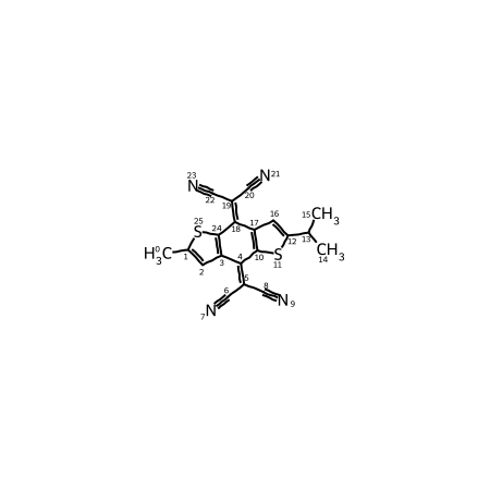 Cc1cc2c(=C(C#N)C#N)c3sc(C(C)C)cc3c(=C(C#N)C#N)c2s1